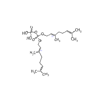 CC(C)=CCC/C(C)=C/COP(=O)(OC/C=C(\C)CCC=C(C)C)OP(=O)(O)O